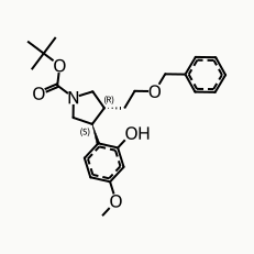 COc1ccc([C@H]2CN(C(=O)OC(C)(C)C)C[C@@H]2CCOCc2ccccc2)c(O)c1